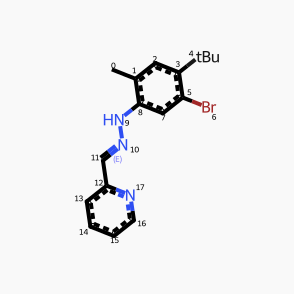 Cc1cc(C(C)(C)C)c(Br)cc1N/N=C/c1ccccn1